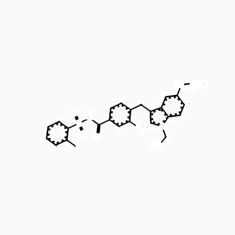 COc1cc(C(=O)NS(=O)(=O)c2ccccc2C)ccc1Cc1cn(CO)c2ccc(NC(=O)O)cc12